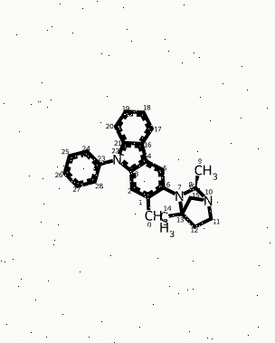 Cc1cc2c(cc1N1[C@@H](C)N3CCC1(C)C3)c1ccccc1n2-c1ccccc1